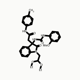 CCOC(CN1C(=O)C(CC(=O)Nc2ccc(C)cc2)(NC(=O)Nc2ccccc2OC)c2ccccc21)OCC